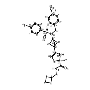 C[C@@]1(C(=O)NCC2CCC2)CN=C(C23CC(N(Cc4ccc(C(F)(F)F)cc4)S(=O)(=O)c4ccc(F)cc4)(C2)C3)N1